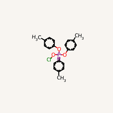 Cc1ccc(O[PH](OCl)(Oc2ccc(C)cc2)c2ccc(C)cc2)cc1